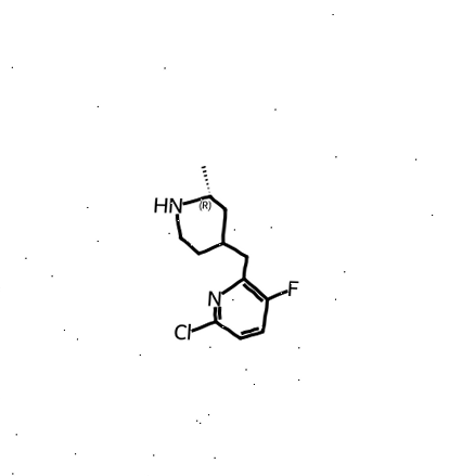 C[C@@H]1CC(Cc2nc(Cl)ccc2F)CCN1